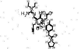 C#CCN(/C(=C/N=C(\N)N(CC)CC)C(=C)N[C@@H](Cc1ccc(CC(=O)N2CCCC2)cc1)C(=O)O)S(C)(=O)=O